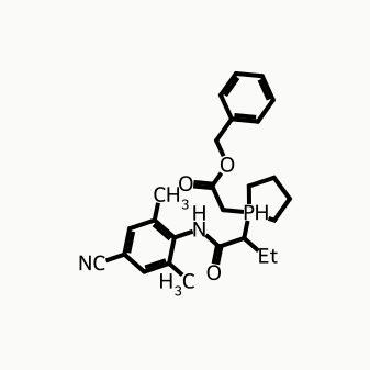 CCC(C(=O)Nc1c(C)cc(C#N)cc1C)[PH]1(CC(=O)OCc2ccccc2)CCCC1